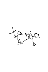 COc1snc(CN(C)C(=O)OC(C)(C)C)c1Br